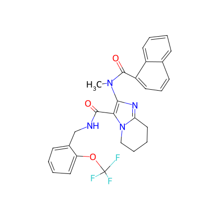 CN(C(=O)c1cccc2ccccc12)c1nc2n(c1C(=O)NCc1ccccc1OC(F)(F)F)CCCC2